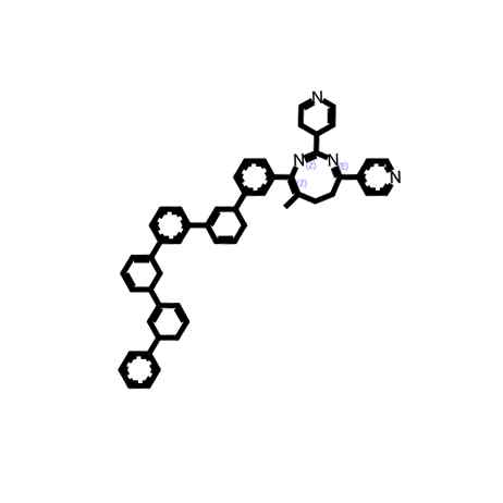 C/C1=C(c2cccc(C3C=C(c4cccc(C5=CC=CC(C6=CC(c7ccccc7)CC=C6)C5)c4)C=CC3)c2)/N=C(C2C=CN=CC2)\N=C(\c2ccncc2)CC1